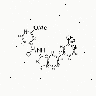 COc1cc(C(=O)NC2CCc3cnc(-c4ccnc(C(F)(F)F)c4)cc32)ccn1